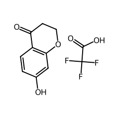 O=C(O)C(F)(F)F.O=C1CCOc2cc(O)ccc21